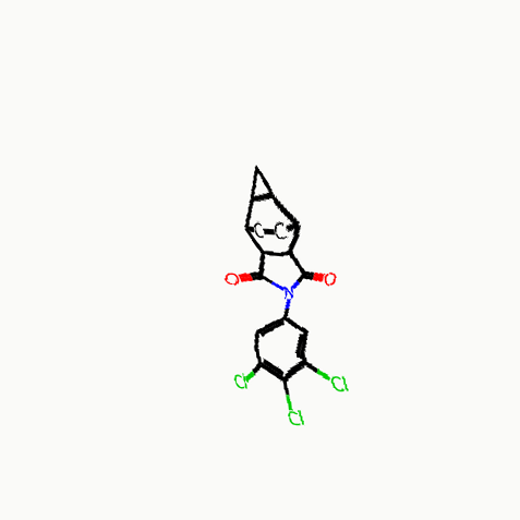 O=C1C2C3CCC(C4CC43)C2C(=O)N1c1cc(Cl)c(Cl)c(Cl)c1